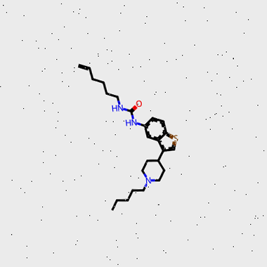 C=CCCCCNC(=O)Nc1ccc2scc(C3CCN(CCCCC)CC3)c2c1